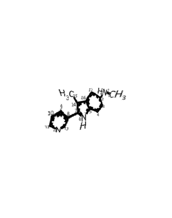 CNc1ccc2[nH]c(-c3cccnc3)c(C)c2c1